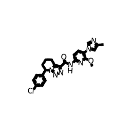 COc1nc(NC(=O)c2nnn3c2CCCC3c2ccc(Cl)cc2)ccc1-n1cnc(C)c1